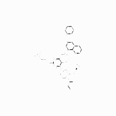 C=CC(=O)N1CCN(c2nc(OCCN(C)C)nc3c2CCN(c2cc(Oc4ccccc4)cc4ccccc24)C3)CC1CC#N